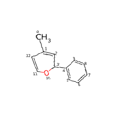 CC1=CC(c2ccccc2)OC=C1